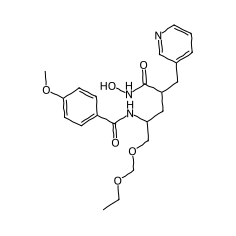 CCOCOCC(CC(Cc1cccnc1)C(=O)NO)NC(=O)c1ccc(OC)cc1